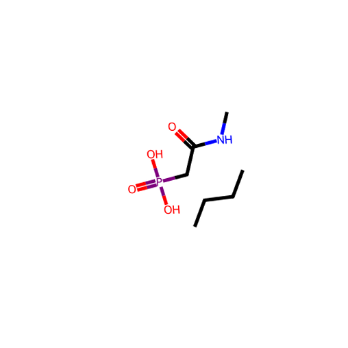 CCCC.CNC(=O)CP(=O)(O)O